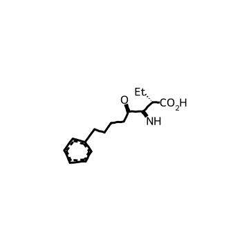 CC[C@@H](C(=N)C(=O)CCCCc1ccccc1)C(=O)O